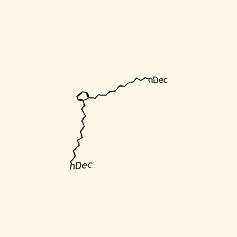 CCCCCCCCCCCCCCCCCCCCCCc1ccccc1CCCCCCCCCCCCCCCCCCCCCC